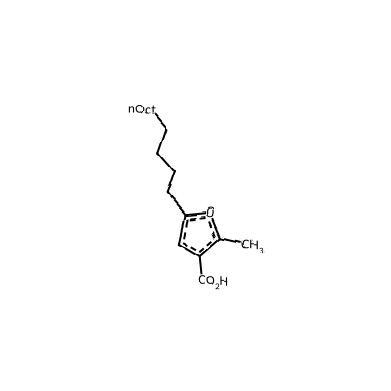 CCCCCCCCCCCCc1cc(C(=O)O)c(C)o1